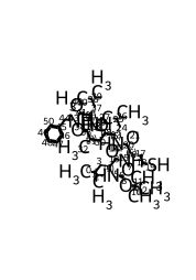 CC(C)C[C@H](NC(=O)OC(C)(C)C)C(=O)N[C@@H](CCS)C(=O)N[C@@H](CC(C)C)[C@@H](O)C[C@@H](C)C(=O)N[C@@H](CC(C)C)C(=O)NCc1ccccc1